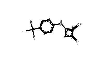 O=c1cc(Nc2ccc(C(F)(F)F)cc2)c1=O